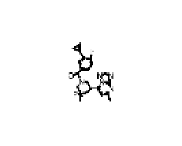 Cc1cc([C@@H]2CN(C(=O)c3ccc(F)c(C4CC4)c3)CC(F)(F)C2)n2ncnc2n1